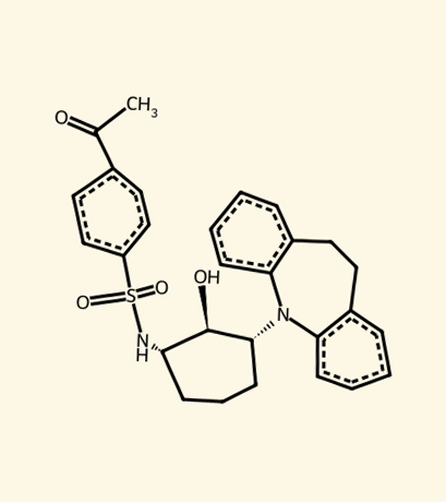 CC(=O)c1ccc(S(=O)(=O)N[C@H]2CCC[C@@H](N3c4ccccc4CCc4ccccc43)[C@@H]2O)cc1